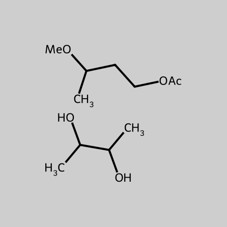 CC(O)C(C)O.COC(C)CCOC(C)=O